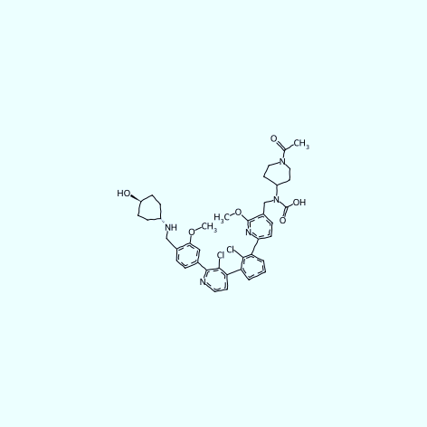 COc1cc(-c2nccc(-c3cccc(-c4ccc(CN(C(=O)O)C5CCN(C(C)=O)CC5)c(OC)n4)c3Cl)c2Cl)ccc1CN[C@H]1CC[C@H](O)CC1